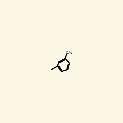 CC(=O)Oc1cccc(C)c1